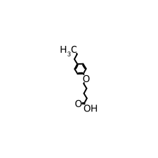 CCCc1ccc(OCCCCC(=O)O)cc1